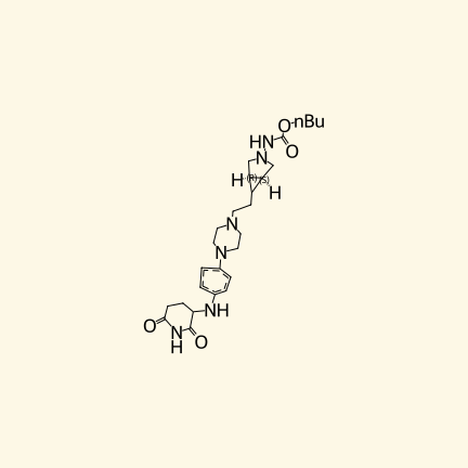 CCCCOC(=O)NN1C[C@@H]2C(CCN3CCN(c4ccc(NC5CCC(=O)NC5=O)cc4)CC3)[C@@H]2C1